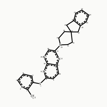 FC(F)(F)c1ncccc1Sc1ccc2nc(N3CCC4(CC3)Cc3ccccc3C4)cnc2n1